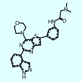 CN(C)CC(=O)Nc1cccc(-c2cc3nc(-c4cccc5[nH]ncc45)nc(N4CCOCC4)c3s2)c1